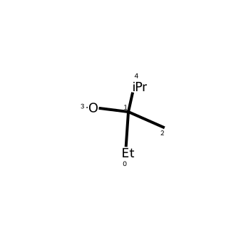 CCC(C)([O])C(C)C